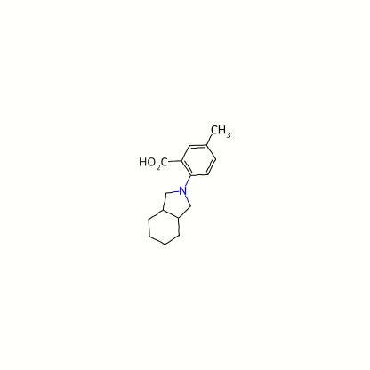 Cc1ccc(N2CC3CCCCC3C2)c(C(=O)O)c1